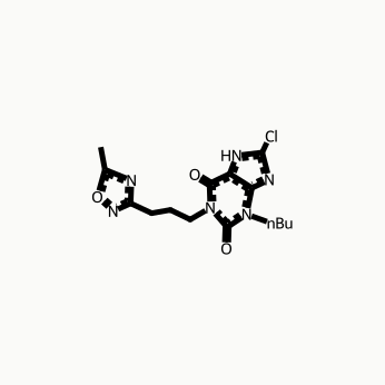 CCCCn1c(=O)n(CCCc2noc(C)n2)c(=O)c2[nH]c(Cl)nc21